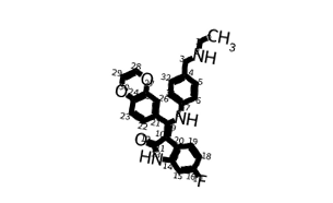 CCNCc1ccc(NC(=C2C(=O)Nc3cc(F)ccc32)c2ccc3c(c2)OC=CO3)cc1